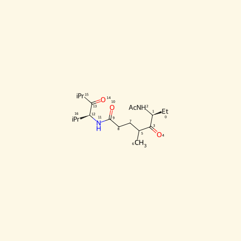 CC[C@H](NC(C)=O)C(=O)C(C)CCC(=O)N[C@H](C(=O)C(C)C)C(C)C